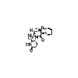 CN(C(=O)c1c2ccccc2nn1C)C1CCC(=O)NC1=O